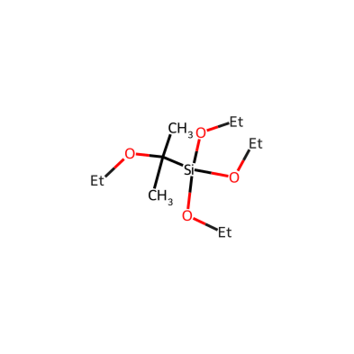 CCOC(C)(C)[Si](OCC)(OCC)OCC